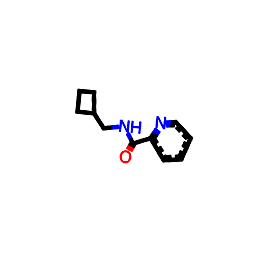 O=C(NCC1CCC1)c1ccccn1